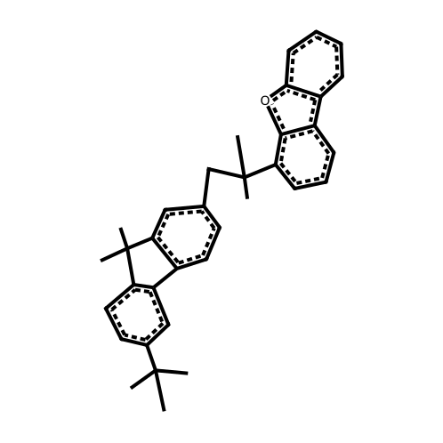 CC(C)(C)c1ccc2c(c1)-c1ccc(CC(C)(C)c3cccc4c3oc3ccccc34)cc1C2(C)C